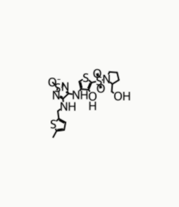 Cc1ccc(CNc2n[s+]([O-])nc2Nc2csc(S(=O)(=O)N3CCCC3CO)c2O)s1